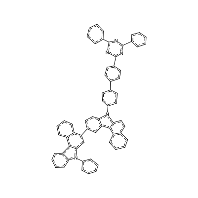 c1ccc(-c2nc(-c3ccccc3)nc(-c3ccc(-c4ccc(-n5c6ccc(-c7cc8c(c9ccccc79)c7ccccc7n8-c7ccccc7)cc6c6c7ccccc7ccc65)cc4)cc3)n2)cc1